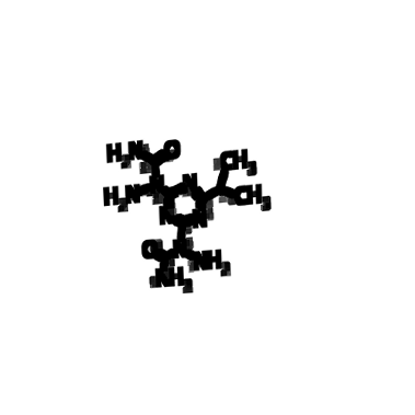 CC(C)c1nc(N(N)C(N)=O)nc(N(N)C(N)=O)n1